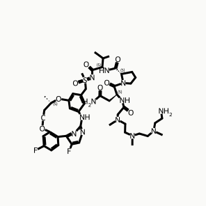 CC(C)[C@H](NC(=O)[C@@H]1CCCN1C(=O)[C@H](CC(N)=O)NC(=O)CN(C)CCN(C)CCN(C)CCN)C(=O)N=S(C)(=O)Cc1cc2cc(c1)O[C@@H](C)CCOc1cc(F)ccc1-c1nc(ncc1F)N2